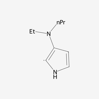 CCCN(CC)c1[c][nH]cc1